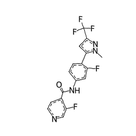 Cn1nc(C(F)(F)F)cc1-c1ccc(NC(=O)c2ccncc2F)cc1F